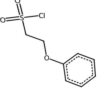 O=S(=O)(Cl)CCOc1ccccc1